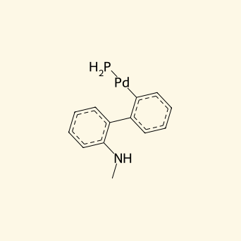 CNc1ccccc1-c1cccc[c]1[Pd][PH2]